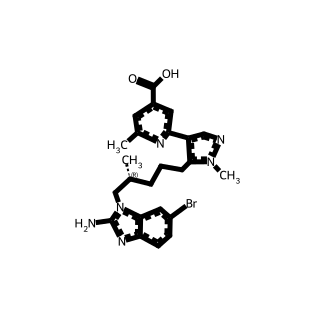 Cc1cc(C(=O)O)cc(-c2cnn(C)c2CCC[C@@H](C)Cn2c(N)nc3ccc(Br)cc32)n1